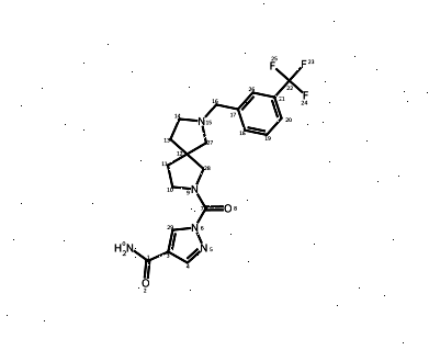 NC(=O)c1cnn(C(=O)N2CCC3(CCN(Cc4cccc(C(F)(F)F)c4)C3)C2)c1